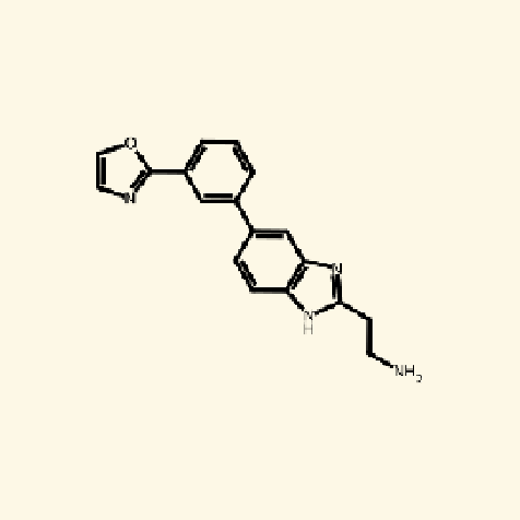 NCCc1nc2cc(-c3cccc(-c4ncco4)c3)ccc2[nH]1